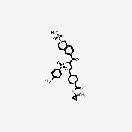 Cc1ccc(S(=O)(=O)OC(CCC2CCN(C(=O)OC3(C)CC3)CC2)C(=O)c2ccc3c(c2)CCN(S(C)(=O)=O)C3)cc1